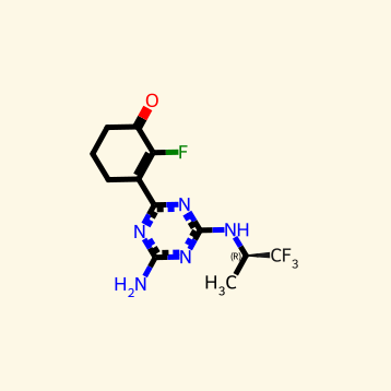 C[C@@H](Nc1nc(N)nc(C2=C(F)C(=O)CCC2)n1)C(F)(F)F